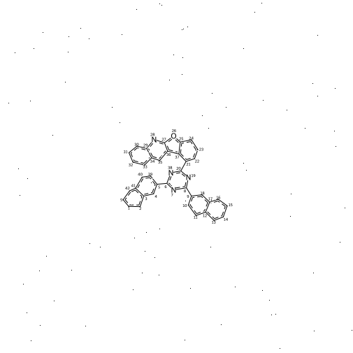 c1ccc2cc(-c3nc(-c4ccc5ccccc5c4)nc(-c4cccc5oc6nc7ccccc7cc6c45)n3)ccc2c1